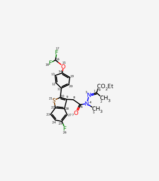 CCOC(=O)C(C)=NN(C)C(=O)Cc1c(-c2ccc(OC(F)F)cc2)sc2ccc(F)cc12